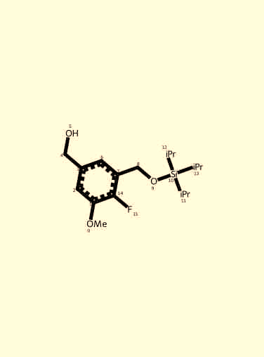 COc1cc(CO)cc(CO[Si](C(C)C)(C(C)C)C(C)C)c1F